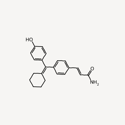 NC(=O)C=Cc1ccc(C(=C2CCCCC2)c2ccc(O)cc2)cc1